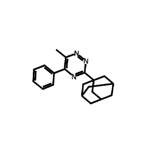 Cc1nnc(C23CC4CC(CC(C4)C2)C3)nc1-c1ccccc1